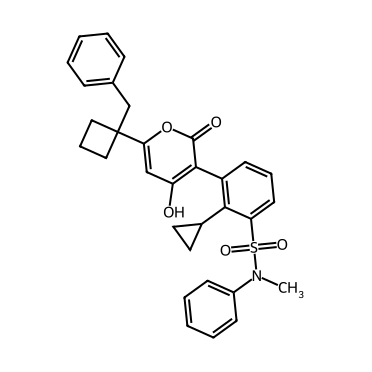 CN(c1ccccc1)S(=O)(=O)c1cccc(-c2c(O)cc(C3(Cc4ccccc4)CCC3)oc2=O)c1C1CC1